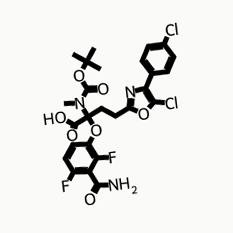 CN(C(=O)OC(C)(C)C)C(CCc1nc(-c2ccc(Cl)cc2)c(Cl)o1)(Oc1ccc(F)c(C(N)=O)c1F)C(=O)O